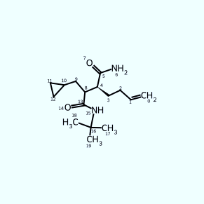 C=CCC[C@H](C(N)=O)C(CC1CC1)C(=O)NC(C)(C)C